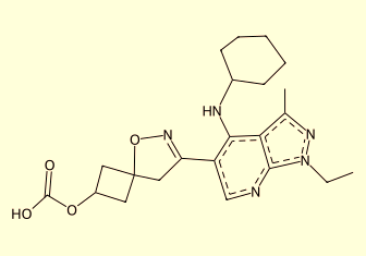 CCn1nc(C)c2c(NC3CCCCC3)c(C3=NOC4(C3)CC(OC(=O)O)C4)cnc21